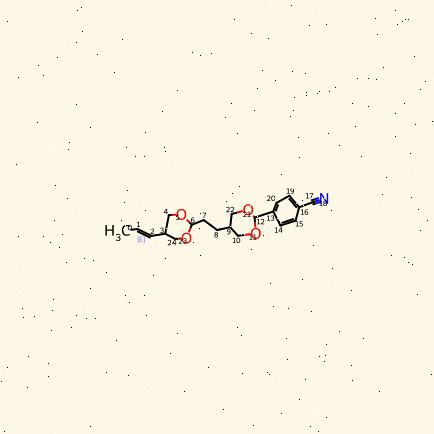 C/C=C/C1COC(CCC2COC(c3ccc(C#N)cc3)OC2)OC1